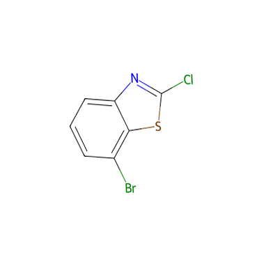 Clc1nc2cccc(Br)c2s1